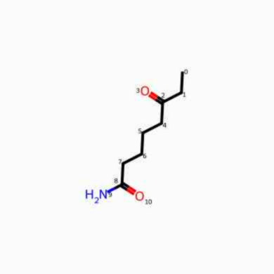 CCC(=O)CCCCC(N)=O